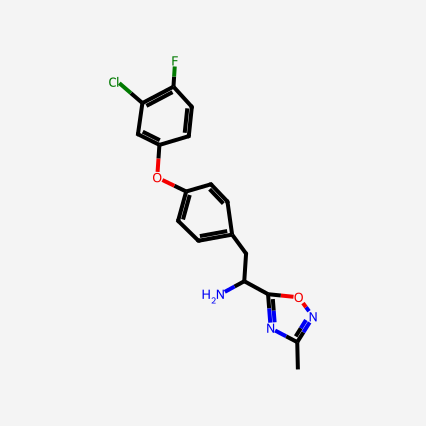 Cc1noc(C(N)Cc2ccc(Oc3ccc(F)c(Cl)c3)cc2)n1